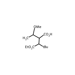 CCOC(=O)C(C(C(=O)O)C(C)OC)C(C)(C)C